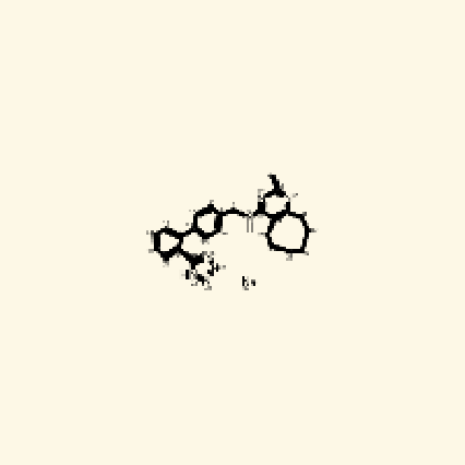 Cc1nc2c(c(NCc3ccc(-c4ccccc4-c4nnn[nH]4)cc3)n1)CCCCCC2.[Na]